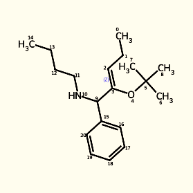 CC/C=C(\OC(C)(C)C)C(NCCCC)c1ccccc1